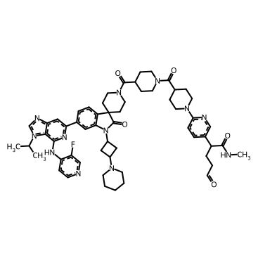 CNC(=O)C(CCC=O)c1ccc(N2CCC(C(=O)N3CCC(C(=O)N4CCC5(CC4)C(=O)N(C4CC(N6CCCCC6)C4)c4cc(-c6cc7ncn(C(C)C)c7c(Nc7ccncc7F)n6)ccc45)CC3)CC2)nc1